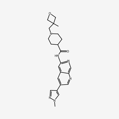 Cn1cc(-c2cnc3cnc(NC(=O)C4CCN(CC5(C)COC5)CC4)cc3c2)cn1